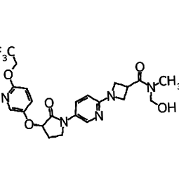 CN(CO)C(=O)C1CN(c2ccc(N3CC[C@@H](Oc4ccc(OCC(F)(F)F)nc4)C3=O)cn2)C1